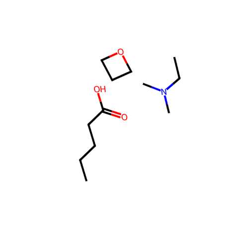 C1COC1.CCCCC(=O)O.CCN(C)C